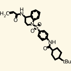 C=CC(=O)NC1CCN(S(=O)(=O)c2ccc(NC(=O)C3CCC(C(C)(C)C)CC3)cc2)c2ccccc21